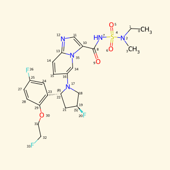 CCN(C)S(=O)(=O)NC(=O)c1cnc2ccc(N3C[C@@H](F)C[C@@H]3c3cc(F)ccc3OCCF)cn12